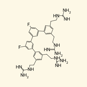 N=C(N)NCCc1cc(CCNC(=N)N)cc(-c2cc(F)cc(-c3cc(F)cc(-c4cc(CCNC(=N)N)cc(CCNC(=N)N)c4)c3)c2)c1